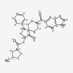 N#CC1CCN(C(=O)CN2CN(c3ccccc3)C3(CCN(C(=O)c4cnc5[nH]ncc5c4)CC3)C2=O)C1